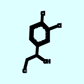 OC(CCl)c1ccc(Cl)c(Cl)c1